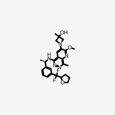 COc1nc2c(C)nnc(N[C@H](C)c3cccc(C(F)(F)C4CCCO4)c3)c2cc1N1CC(C)(O)C1